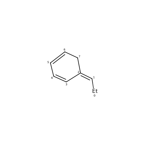 CCC=C1C=CC=CC1